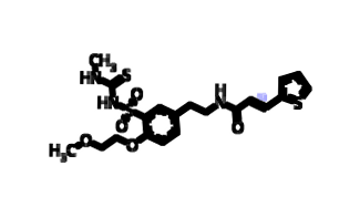 CNC(=S)NS(=O)(=O)c1cc(CCNC(=O)/C=C/c2cccs2)ccc1OCCOC